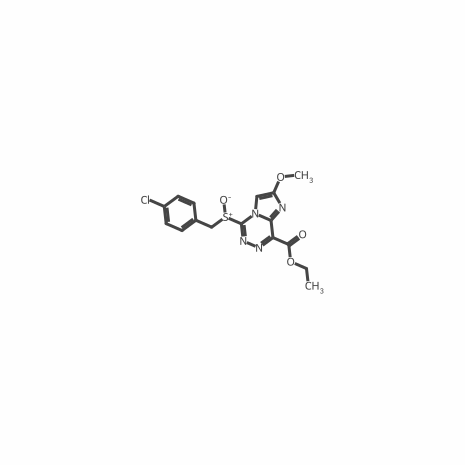 CCOC(=O)c1nnc([S+]([O-])Cc2ccc(Cl)cc2)n2cc(OC)nc12